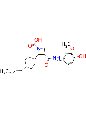 CCCCC1CCC(C2C(C(=O)NCc3ccc(O)c(OC)c3)CN2C(=O)O)CC1